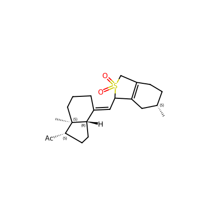 CC(=O)[C@H]1CC[C@H]2C(=CC3C4=C(CC[C@H](C)C4)CS3(=O)=O)CCC[C@]12C